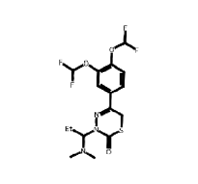 CCC(N(C)C)N1N=C(c2ccc(OC(F)F)c(OC(F)F)c2)CSC1=O